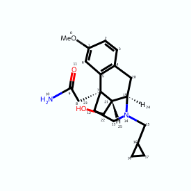 COc1ccc2c(c1)[C@]1(CC(N)=O)CCN(CC3CC3)[C@H](C2)[C@@H]1CO